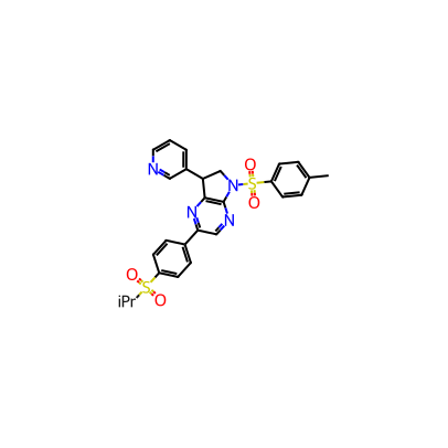 Cc1ccc(S(=O)(=O)N2CC(c3cccnc3)c3nc(-c4ccc(S(=O)(=O)C(C)C)cc4)cnc32)cc1